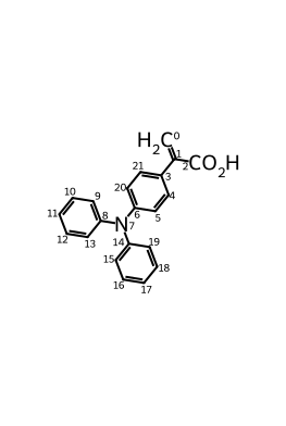 C=C(C(=O)O)c1ccc(N(c2ccccc2)c2ccccc2)cc1